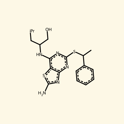 CC(C)CC(CO)Nc1nc(SC(C)c2ccccc2)nc2nc(N)sc12